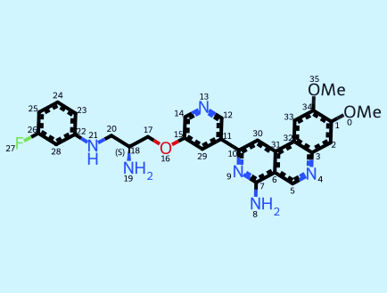 COc1cc2ncc3c(N)nc(-c4cncc(OC[C@@H](N)CNc5cccc(F)c5)c4)cc3c2cc1OC